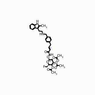 CC(=O)O[C@H]1[C@@H](OC(C)=O)[C@@H](CF)O[C@@H](ONC(=O)/C=C/Cc2ccc(CNCCc3c(C)[nH]c4ccccc34)cc2)[C@@H]1OC(C)=O